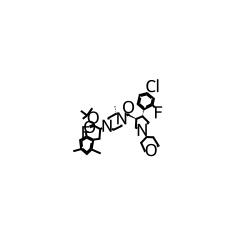 Cc1cc(C)c(CC(C(=O)OC(C)(C)C)N2CCN(C(=O)[C@@H]3CN(C4CCOCC4)C[C@H]3c3ccc(Cl)cc3F)[C@@H](C)C2)c(F)c1